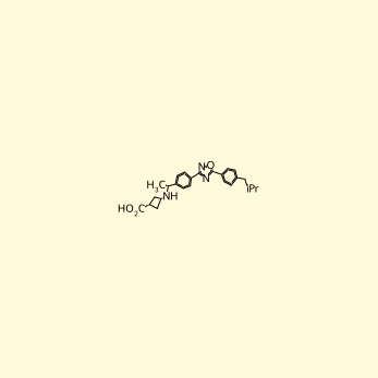 CC(C)Cc1ccc(-c2nc(-c3ccc([C@H](C)N[C@H]4C[C@H](C(=O)O)C4)cc3)no2)cc1